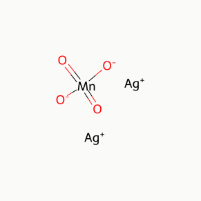 [Ag+].[Ag+].[O]=[Mn](=[O])([O-])[O-]